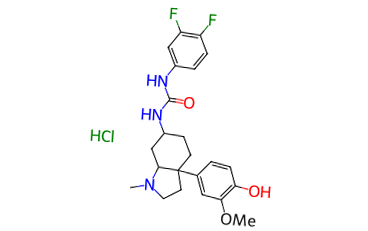 COc1cc(C23CCC(NC(=O)Nc4ccc(F)c(F)c4)CC2N(C)CC3)ccc1O.Cl